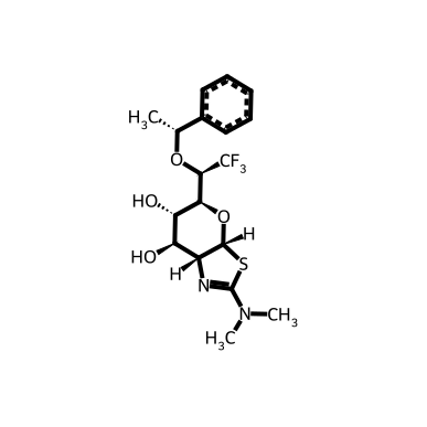 C[C@@H](O[C@H]([C@H]1O[C@@H]2SC(N(C)C)=N[C@@H]2[C@@H](O)[C@@H]1O)C(F)(F)F)c1ccccc1